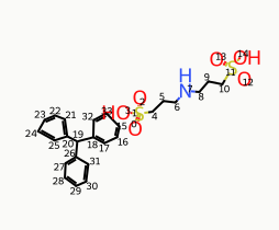 O=S(=O)(O)CCCNCCCS(=O)(=O)O.c1ccc(C(c2ccccc2)c2ccccc2)cc1